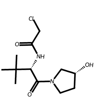 CC(C)(C)[C@H](NC(=O)CCl)C(=O)N1CC[C@@H](O)C1